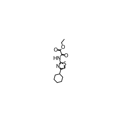 CCOC(=O)C(=O)Nc1nc(C2CCCCC2)cs1